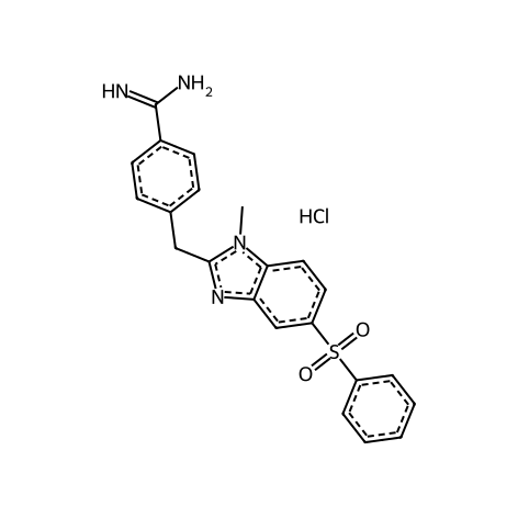 Cl.Cn1c(Cc2ccc(C(=N)N)cc2)nc2cc(S(=O)(=O)c3ccccc3)ccc21